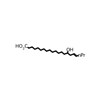 CCCC=CCC(O)CCCCCCCCCCCCCC(=O)O